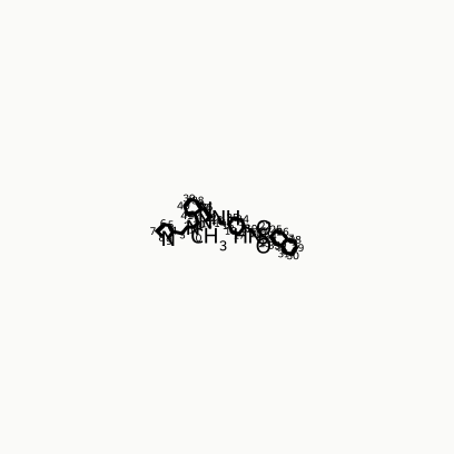 CN(CCc1ccccn1)c1nc(NC[C@H]2CC[C@H](CNS(=O)(=O)c3ccc4ccccc4c3)CC2)nc2ccccc12